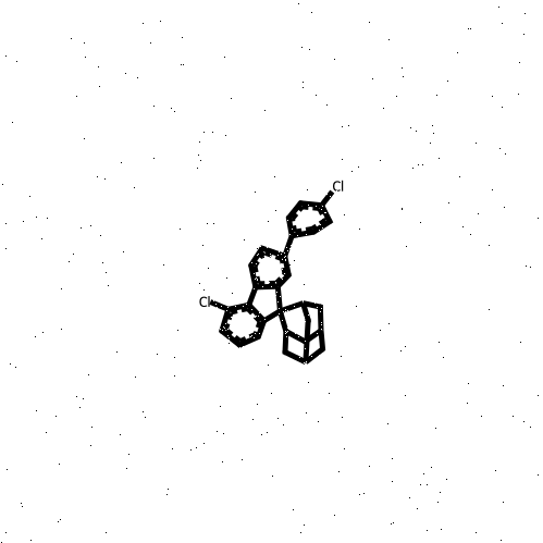 Clc1ccc(-c2ccc3c(c2)C2(c4cccc(Cl)c4-3)C3CC4CC(C3)CC2C4)cc1